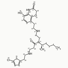 CCCC[C@@H](C)N(CCNCCc1ccc(O)c2c1OCC(=O)N2)C(=O)CCNCCc1ccc(Cl)s1